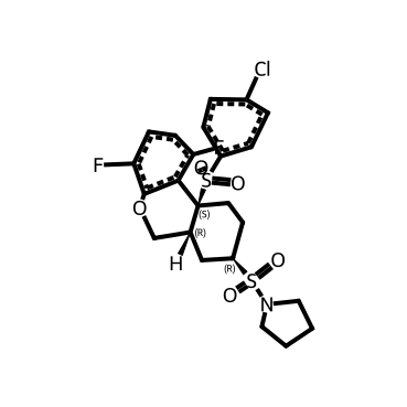 O=S(=O)([C@@H]1CC[C@@]2(S(=O)(=O)c3ccc(Cl)cc3)c3c(F)ccc(F)c3OC[C@H]2C1)N1CCCC1